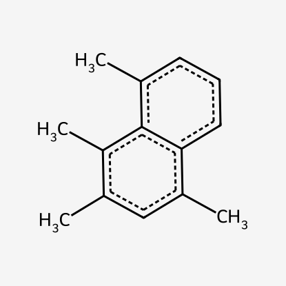 Cc1cc(C)c2cccc(C)c2c1C